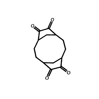 O=C1C(=O)C2CCC3CC(CCC1C2)C(=O)C3=O